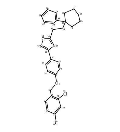 Clc1ccc(COc2ccc(-c3noc(CCC4(c5ccccc5)CCCCC4)n3)cc2)c(Cl)c1